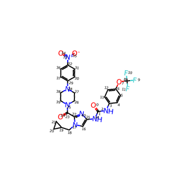 O=C(Nc1ccc(OC(F)(F)F)cc1)Nc1cn(CC2CC2)c(C(=O)N2CCN(c3ccc([N+](=O)[O-])cc3)CC2)n1